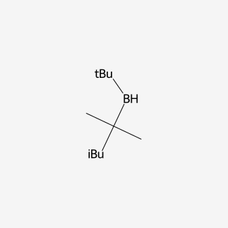 CCC(C)C(C)(C)BC(C)(C)C